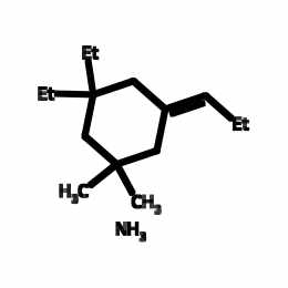 CCC=C1CC(C)(C)CC(CC)(CC)C1.N